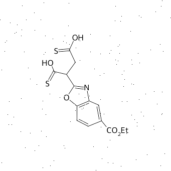 CCOC(=O)c1ccc2oc(C(CC(O)=S)C(O)=S)nc2c1